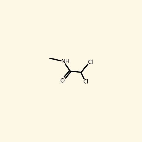 CNC(=O)[C](Cl)Cl